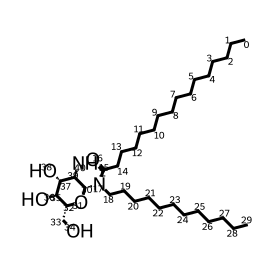 CCCCCCCCCCCCCCCC(=O)N(CCCCCCCCCCCC)[C@@H]1O[C@H](CO)[C@@H](O)[C@H](O)[C@H]1N